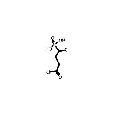 O=C(Cl)CCC(Cl)P(=O)(O)O